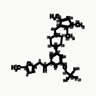 Cc1ccc(CNc2nc(OCC(F)(F)F)nc(N3CCN(Cc4c(C)nn(C)c4C)CC3)n2)o1